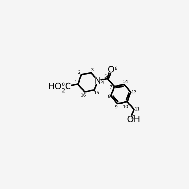 O=C(O)C1CCN(C(=O)c2ccc(CO)cc2)CC1